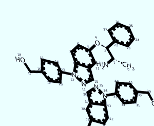 C[C@H](N)[C@H](Oc1ccc2c(cnn2-c2ccc(CO)cc2)c1)c1ccccc1.OCc1ccc(-n2ncc3cc(I)ccc32)cc1